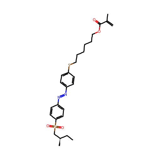 C=C(C)C(=O)OCCCCCCSc1ccc(N=Nc2ccc(S(=O)(=O)C[C@H](C)CC)cc2)cc1